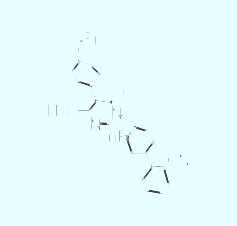 CCCc1nc(C)c(-c2ccc(OC(C)C)cc2)c(=O)n1Cc1ccc(-c2ccccc2C#N)cc1